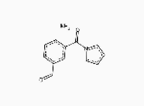 N.O=Cc1cccc(C(=O)n2cccc2)c1